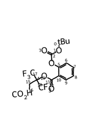 CC(C)(C)OC(=O)Oc1ccccc1C(=O)OC(CC(=O)O)(C(F)(F)F)C(F)(F)F